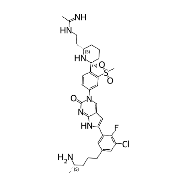 CC(=N)NCC[C@@H]1CCC[C@@H](c2ccc(-n3cc4cc(-c5cc(CCC[C@H](C)N)cc(Cl)c5F)[nH]c4nc3=O)cc2S(C)(=O)=O)N1